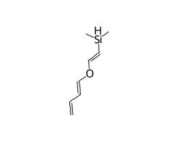 C=CC=COC=C[SiH](C)C